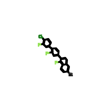 CCc1ccc2c(F)c(-c3ccc(-c4ccc(Cl)c(F)c4)c(F)c3)ccc2c1